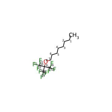 CCCCCCCCOC(C(F)(F)F)(C(F)(F)F)C(F)(F)F